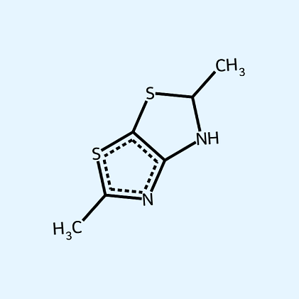 Cc1nc2c(s1)SC(C)N2